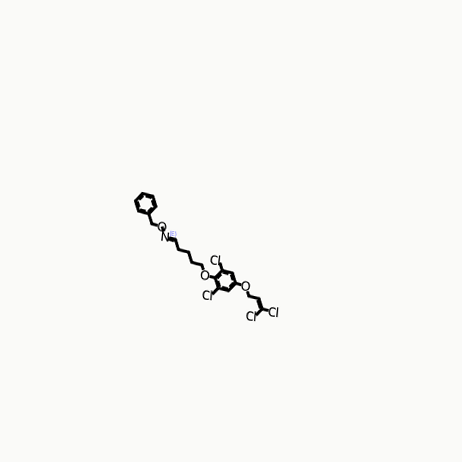 ClC(Cl)=CCOc1cc(Cl)c(OCCCC/C=N/OCc2ccccc2)c(Cl)c1